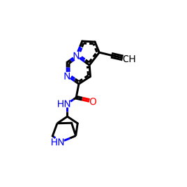 C#Cc1ccn2cnc(C(=O)NC3CC4CC3CN4)cc12